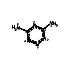 Nc1nnnc(N)n1